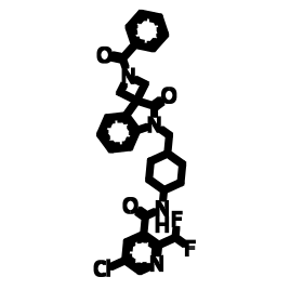 O=C(NC1CCC(CN2C(=O)C3(CN(C(=O)c4ccccc4)C3)c3ccccc32)CC1)c1cc(Cl)cnc1C(F)F